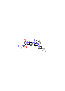 Cc1nc(N2CCC(C(F)(F)F)CC2)ccc1Nc1ccc(CC2NC(=O)CC2C(N)=O)cc1